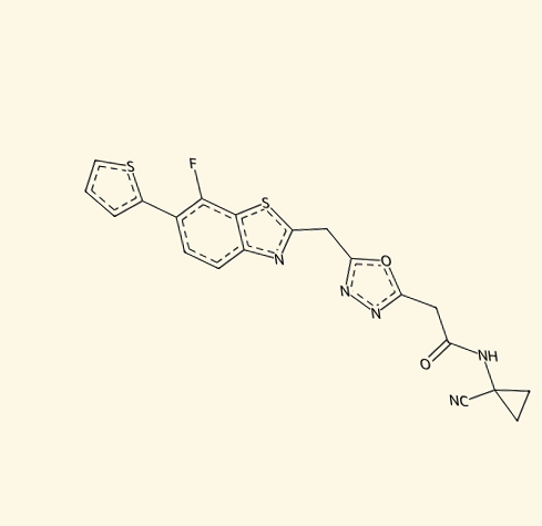 N#CC1(NC(=O)Cc2nnc(Cc3nc4ccc(-c5cccs5)c(F)c4s3)o2)CC1